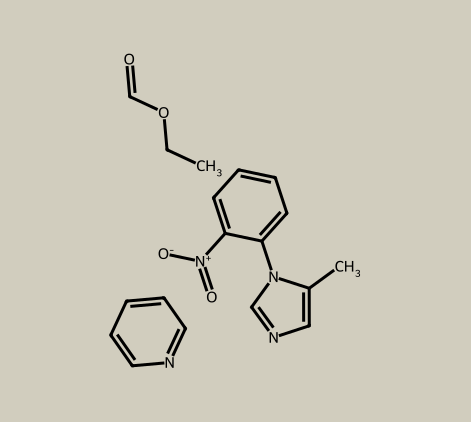 CCOC=O.Cc1cncn1-c1ccccc1[N+](=O)[O-].c1ccncc1